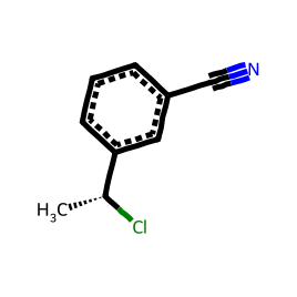 C[C@@H](Cl)c1cccc(C#N)c1